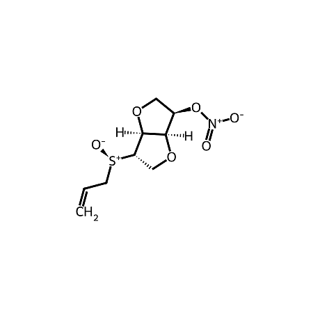 C=CC[S@@+]([O-])[C@H]1CO[C@H]2[C@@H]1OC[C@H]2O[N+](=O)[O-]